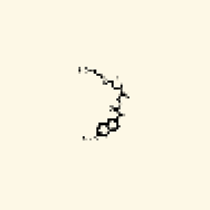 COc1ccc2cc([C@H](C)C(=O)OCC(=O)N(C)CC(=O)OCCCO)ccc2c1